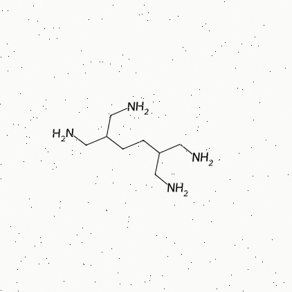 NCC(CN)CCC(CN)CN